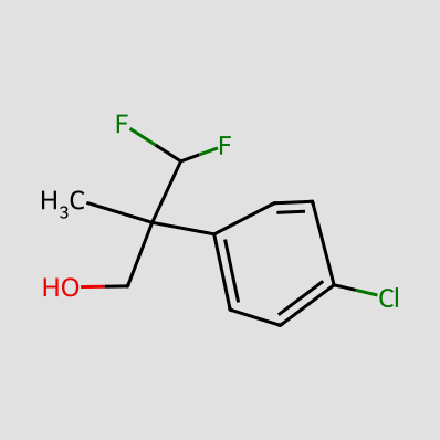 CC(CO)(c1ccc(Cl)cc1)C(F)F